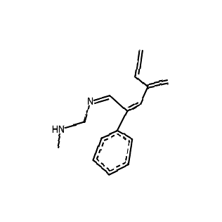 C=CC(=C)/C=C(\C=N/CNC)c1ccccc1